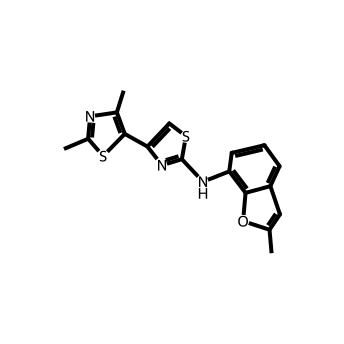 Cc1cc2cccc(Nc3nc(-c4sc(C)nc4C)cs3)c2o1